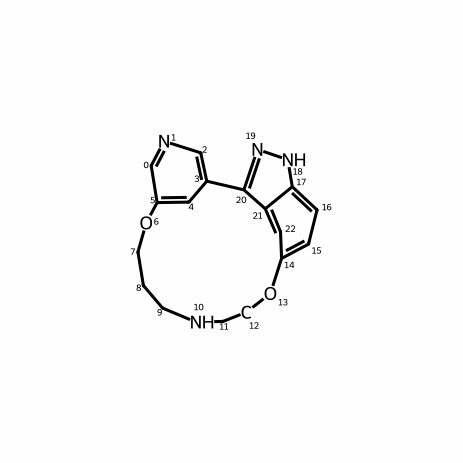 c1ncc2cc1OCCCNCCOc1ccc3[nH]nc-2c3c1